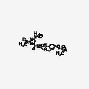 CCN(C)c1nc(NC2COC2)cc(C(=O)NCC(O)CN2CCc3cc(OCc4ocnc4C)ccc3C2)n1